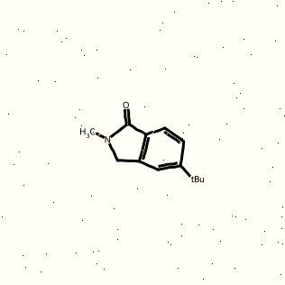 CN1Cc2cc(C(C)(C)C)ccc2C1=O